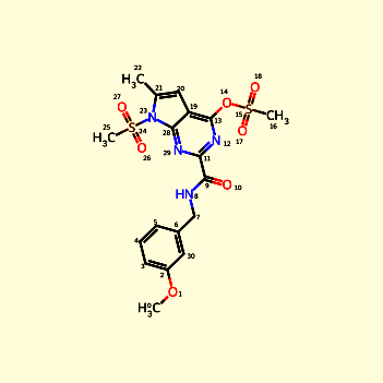 COc1cccc(CNC(=O)c2nc(OS(C)(=O)=O)c3cc(C)n(S(C)(=O)=O)c3n2)c1